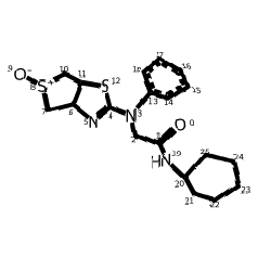 O=C(CN(C1=NC2C[S+]([O-])CC2S1)c1ccccc1)NC1CCCCC1